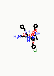 C=CC[C@@H](NC(=O)OCc1ccccc1)C(=O)N1C[C@H](OCc2ccc(Cl)cc2)C[C@H]1C(=O)N[C@@H](CCCCN)C(=O)C(=O)NCCc1ccccc1